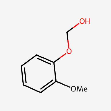 COc1ccccc1OCO